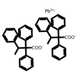 CC(c1ccccc1)C(C(=O)[O-])(c1ccccc1)c1ccccc1.CC(c1ccccc1)C(C(=O)[O-])(c1ccccc1)c1ccccc1.[Pb+2]